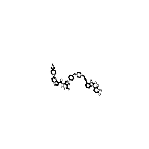 CN1CC2(CCN(c3ccn4ncc(C(=O)Nc5cn([C@H]6CC[C@H](CN7CCN(CC#Cc8cccc9c8n(C)c(=O)n9C8CCC(=O)NC8=O)CC7)CC6)nc5C(F)F)c4n3)CC2)C1